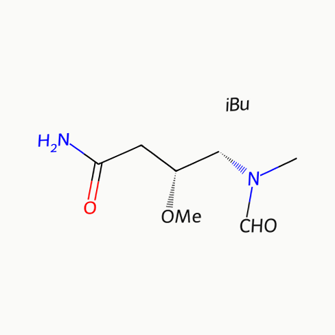 CC[C@H](C)[C@@H]([C@@H](CC(N)=O)OC)N(C)C=O